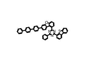 c1ccc(-c2ccc(-c3ccc(-c4ccc5c(c4)oc4cccc(-c6nc(-c7ccccc7)nc(-c7cccc8c7sc7ccccc78)n6)c45)cc3)cc2)cc1